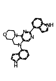 c1cc(-c2ncc3c(n2)N2CCOCC2CN3c2cccc3[nH]ccc23)c2cc[nH]c2c1